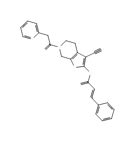 N#Cc1c(NC(=O)/C=C/c2ccccc2)sc2c1CCN(C(=O)Cc1ccccn1)C2